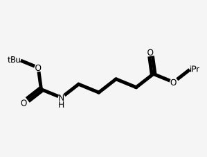 CC(C)OC(=O)CCCCNC(=O)OC(C)(C)C